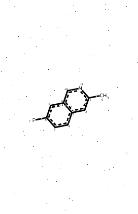 Cc1cc2ccc(F)cc2cn1